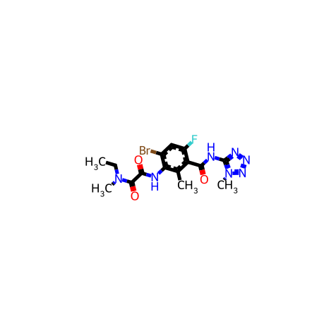 CCN(C)C(=O)C(=O)Nc1c(Br)cc(F)c(C(=O)Nc2nnnn2C)c1C